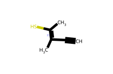 C#C/C(C)=C(\C)S